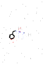 CCNC(=O)NC(C)Cc1ccc2c(c1)OCO2